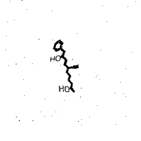 C#CC(CCCCC(=C)O)CCC(O)Cc1ccccc1